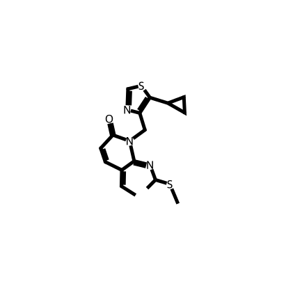 C/C=C1/C=CC(=O)N(Cc2ncsc2C2CC2)/C1=N/C(C)SC